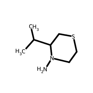 CC(C)C1CSCCN1N